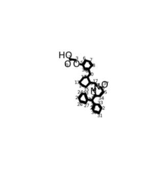 O=C(O)COc1cccc(CC2CCCCC2Cn2nc(C(c3ccccc3)c3ccccc3)ccc2=O)c1